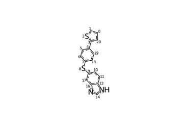 c1csc(-c2ccc(Sc3ccc4[nH]cnc4c3)cc2)c1